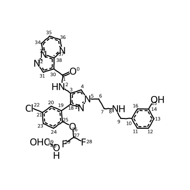 O=C(Nc1cn(CCNCc2cccc(O)c2)nc1-c1cc(Cl)ccc1OC(F)F)c1cnn2cccnc12.O=CO